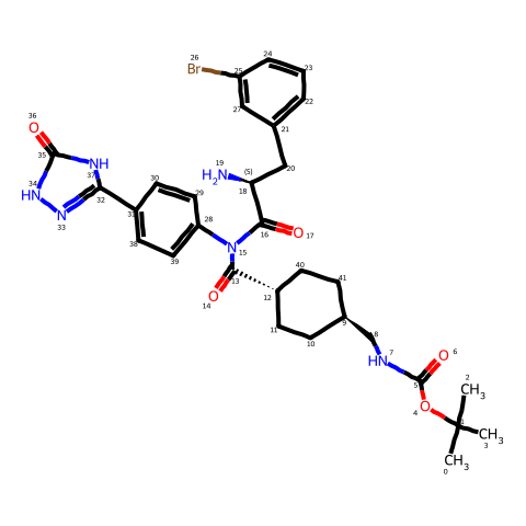 CC(C)(C)OC(=O)NC[C@H]1CC[C@H](C(=O)N(C(=O)[C@@H](N)Cc2cccc(Br)c2)c2ccc(-c3n[nH]c(=O)[nH]3)cc2)CC1